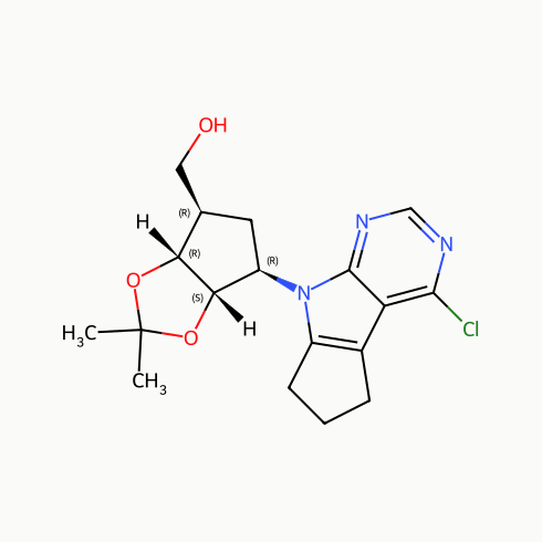 CC1(C)O[C@@H]2[C@@H](CO)C[C@@H](n3c4c(c5c(Cl)ncnc53)CCC4)[C@@H]2O1